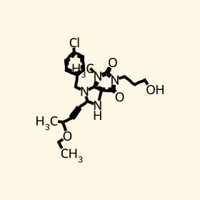 CCOC(C)C#CC1Nc2c(n(C)c(=O)n(CCCO)c2=O)N1Cc1ccc(Cl)cc1